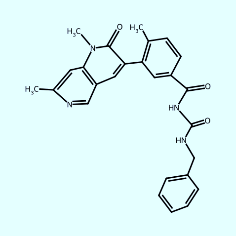 Cc1cc2c(cn1)cc(-c1cc(C(=O)NC(=O)NCc3ccccc3)ccc1C)c(=O)n2C